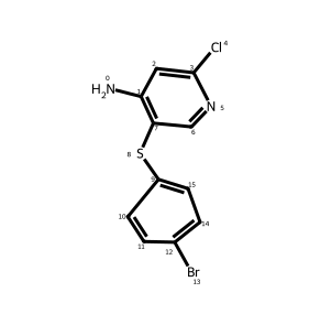 Nc1cc(Cl)ncc1Sc1ccc(Br)cc1